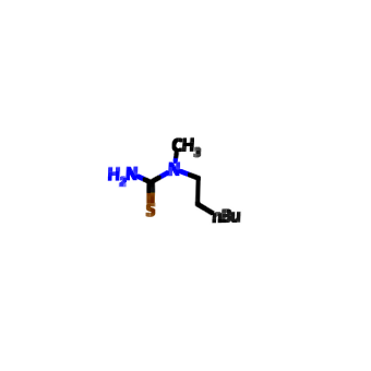 CCCCCCN(C)C(N)=S